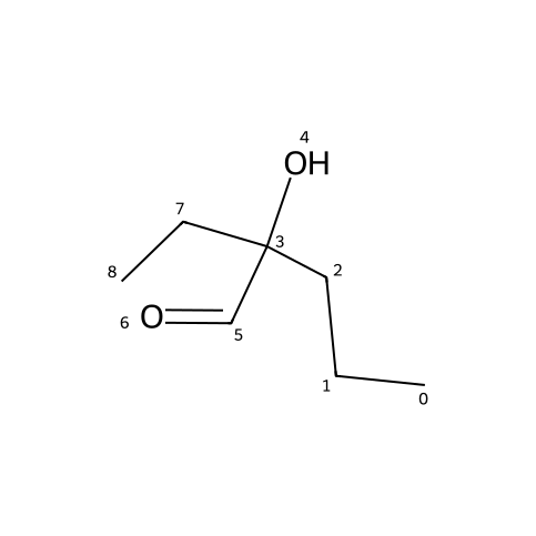 CCCC(O)(C=O)CC